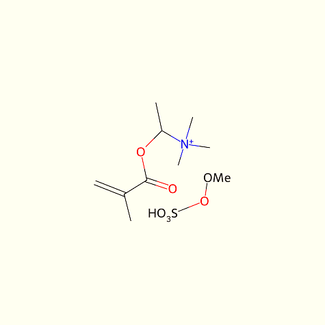 C=C(C)C(=O)OC(C)[N+](C)(C)C.COOS(=O)(=O)O